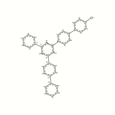 Clc1ccc(-c2ccc(-c3nc(-c4ccccc4)nc(-c4ccc(-c5ccccc5)cc4)n3)cc2)cc1